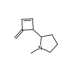 C=C1C=CC1C1CCCN1C